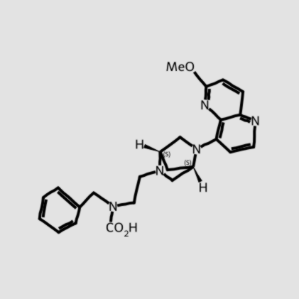 COc1ccc2nccc(N3C[C@@H]4C[C@H]3CN4CCN(Cc3ccccc3)C(=O)O)c2n1